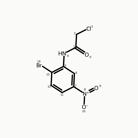 O=C(CCl)Nc1cc([N+](=O)[O-])ccc1Br